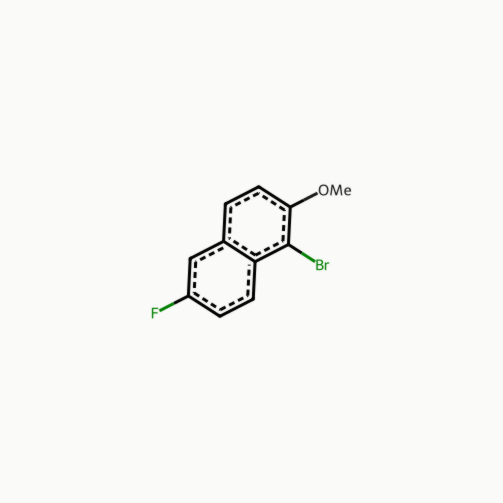 COc1ccc2cc(F)ccc2c1Br